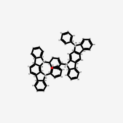 C1=CC(n2c3ccccc3c3ccc4c5ccccc5n(-c5ccccc5)c4c32)CC=C1n1c2ccccc2c2cc3c4ccccc4n(-c4ccccc4)c3cc21